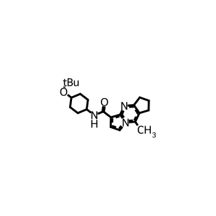 Cc1c2c(nc3c(C(=O)NC4CCC(OC(C)(C)C)CC4)ccn13)CCC2